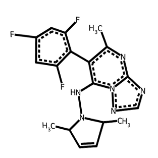 Cc1nc2ncnn2c(NN2C(C)C=CC2C)c1-c1c(F)cc(F)cc1F